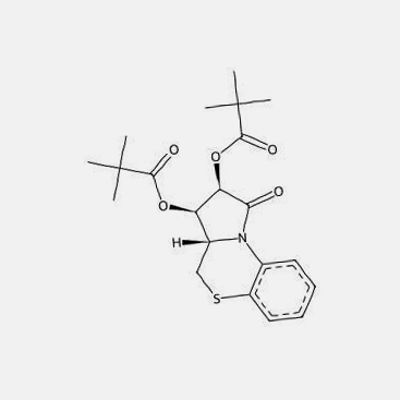 CC(C)(C)C(=O)O[C@@H]1[C@H]2CSc3ccccc3N2C(=O)[C@@H]1OC(=O)C(C)(C)C